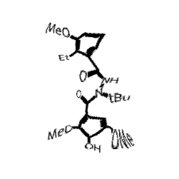 CCc1c(OC)cccc1C(=O)NN(C(=O)c1cc(OC)c(O)c(OC)c1)C(C)(C)C